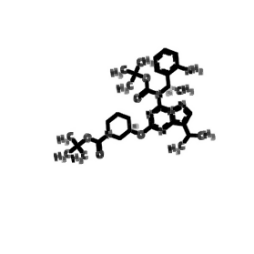 CC(C)c1cnn2c(N(C(=O)OC(C)(C)C)[C@@H](C)c3ccccc3N)nc(O[C@@H]3CCCN(C(=O)OC(C)(C)C)C3)nc12